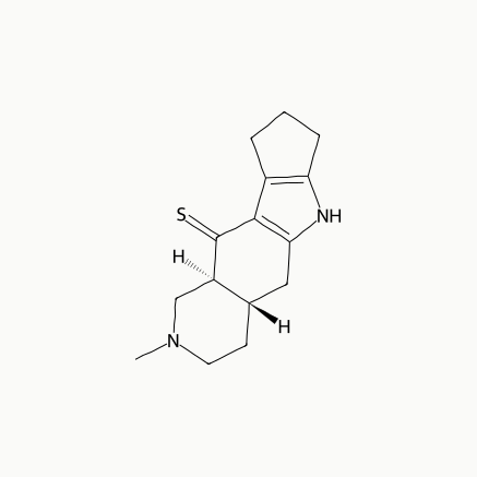 CN1CC[C@H]2Cc3[nH]c4c(c3C(=S)[C@@H]2C1)CCC4